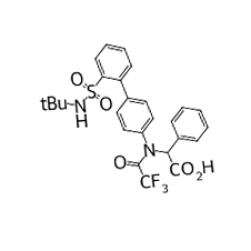 CC(C)(C)NS(=O)(=O)c1ccccc1-c1ccc(N(C(=O)C(F)(F)F)C(C(=O)O)c2ccccc2)cc1